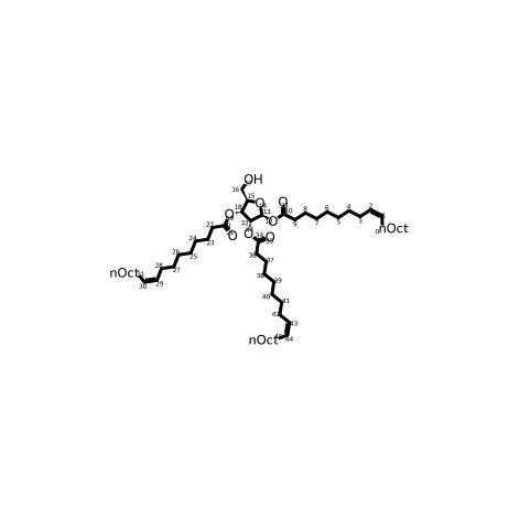 CCCCCCCC/C=C\CCCCCCCC(=O)O[C@@H]1O[C@H](CO)[C@@H](OC(=O)CCCCCCC/C=C\CCCCCCCC)[C@H]1OC(=O)CCCCCCC/C=C\CCCCCCCC